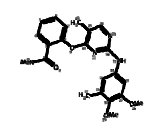 CNC(=O)c1ccccc1Oc1nc(Nc2cc(C)c(OC)c(OC)c2)ncc1C